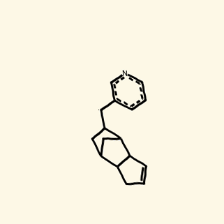 [CH](c1cccnc1)C1CC2CC1C1C=CCC21